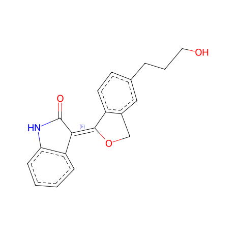 O=C1Nc2ccccc2/C1=C1\OCc2cc(CCCO)ccc21